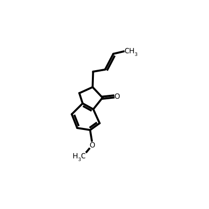 CC=CCC1Cc2ccc(OC)cc2C1=O